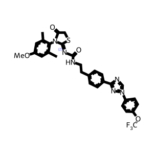 COc1cc(C)c(N2C(=O)CS/C2=N\C(=O)NCCc2ccc(-c3ncn(-c4ccc(OC(F)(F)F)cc4)n3)cc2)c(C)c1